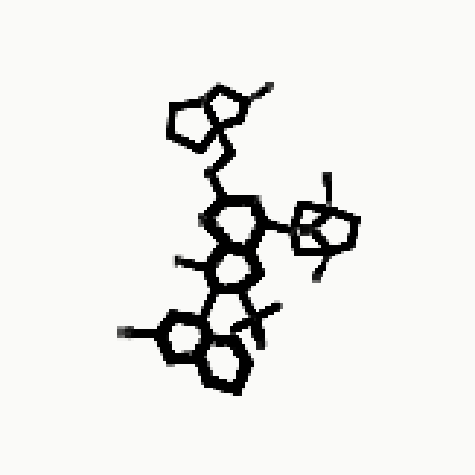 CP(C)(=O)c1cc2c(N3C[C@H]4CC[C@@H](C3)N4)nc(OC[C@@]34CCCN3C[C@H](F)C4)nc2c(F)c1-c1cc(O)cc2ccccc12